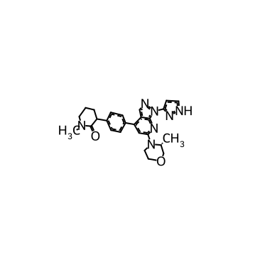 C[C@@H]1COCCN1c1cc(-c2ccc(C3CCCN(C)C3=O)cc2)c2cnn(-c3cc[nH]n3)c2n1